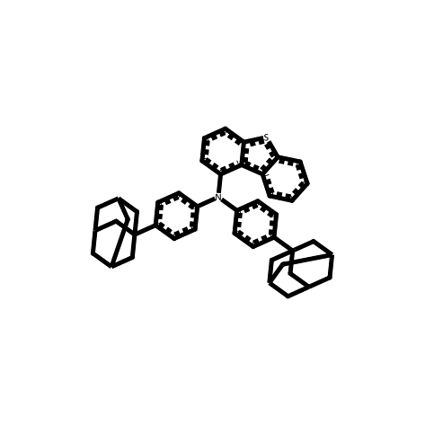 c1ccc2c(c1)sc1cccc(N(c3ccc(C45CC6CC(CC(C6)C4)C5)cc3)c3ccc(C45CC6CC(CC(C6)C4)C5)cc3)c12